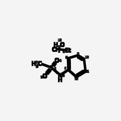 CCCl.CS(=O)(=O)Nc1ccccc1.O